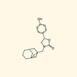 O=C1OC(c2ccc(O)cc2)CN1CC12CC3CCCC(C3)(C1)C2